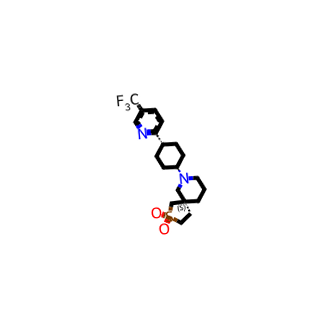 O=S1(=O)CC[C@]2(CCCN([C@H]3CC[C@@H](c4ccc(C(F)(F)F)cn4)CC3)C2)C1